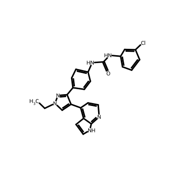 CCn1cc(-c2ccnc3[nH]ccc23)c(-c2ccc(NC(=O)Nc3cccc(Cl)c3)cc2)n1